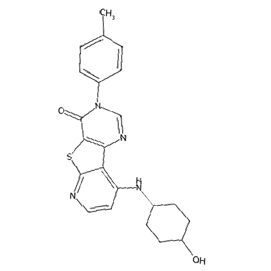 Cc1ccc(-n2cnc3c(sc4nccc(NC5CCC(O)CC5)c43)c2=O)cc1